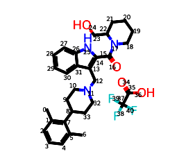 Cc1cccc(C)c1C1CCN(Cc2c(C(=O)N3CCCCC3CO)[nH]c3ccccc23)CC1.O=C(O)C(F)(F)F